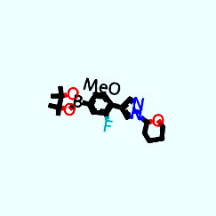 COc1cc(-c2cnn(C3CCCCO3)c2)c(F)cc1B1OC(C)(C)C(C)(C)O1